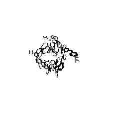 COC(=O)CNC(=O)[C@@]1(C)CN(C(=O)Cc2cccc3c2C(C(=O)O)[C@@H](C)N3)c2cc(Cc3ccc(F)cc3)ccc21.C[C@@H]1COCCN1CC1CN(C(=O)OC(C)(C)C)CCN1